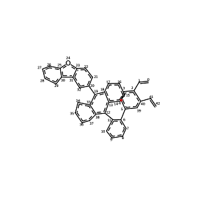 C=Cc1ccc(-c2ccccc2-c2c3ccccc3c(-c3ccc4oc5ccccc5c4c3)c3ccccc23)cc1C=C